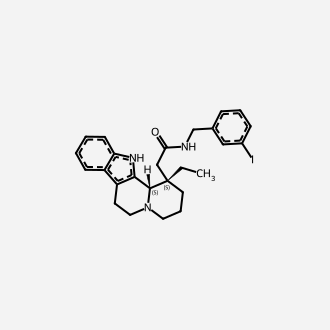 CC[C@@]1(CC(=O)NCc2cccc(I)c2)CCCN2CCc3c([nH]c4ccccc34)[C@@H]21